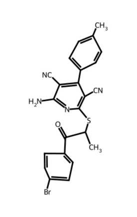 Cc1ccc(-c2c(C#N)c(N)nc(SC(C)C(=O)c3ccc(Br)cc3)c2C#N)cc1